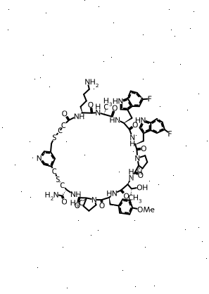 COc1ccc(C[C@@H]2NC(=O)[C@H]([C@@H](C)O)NC(=O)[C@@H]3CCCN3C(=O)[C@H](Cc3c[nH]c4ccc(F)cc34)NC(=O)[C@H](Cc3c[nH]c4ccc(F)cc34)NC(=O)[C@@H](C)NC(=O)[C@H](CCCCN)NC(=O)CCSCc3cncc(c3)CSC[C@@H](C(N)=O)NC(=O)[C@]3(C)CCCN3C2=O)cc1